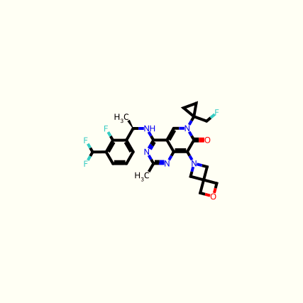 Cc1nc(N[C@H](C)c2cccc(C(F)F)c2F)c2cn(C3(CF)CC3)c(=O)c(N3CC4(COC4)C3)c2n1